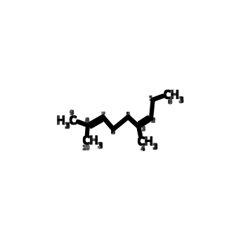 CC/C=C(/C)CCC=C(C)C